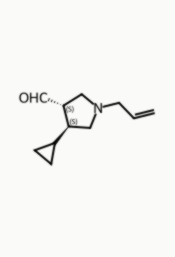 C=CCN1C[C@@H](C=O)[C@H](C2CC2)C1